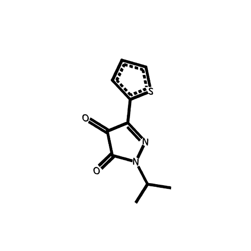 CC(C)N1N=C(c2cccs2)C(=O)C1=O